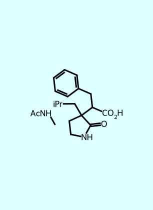 CC(C)CC1(C(Cc2ccccc2)C(=O)O)CCNC1=O.CNC(C)=O